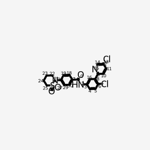 O=C(Nc1ccc(Cl)c(-c2ccc(Cl)cn2)c1)c1ccc(N2CCCCS2(=O)=O)cc1